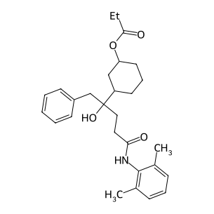 CCC(=O)OC1CCCC(C(O)(CCC(=O)Nc2c(C)cccc2C)Cc2ccccc2)C1